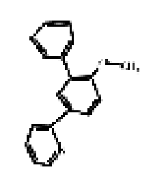 COc1ccc(-c2ccccn2)cc1-c1ccccc1